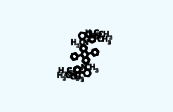 CC12CCCCC1(C)N(c1ccc3c(-c4ccccc4)c4cc(N5c6ccc([Si](C)(C)C)cc6C6(C)CCCCC56C)ccc4c(-c4ccccc4)c3c1)c1ccc([Si](C)(C)C)cc12